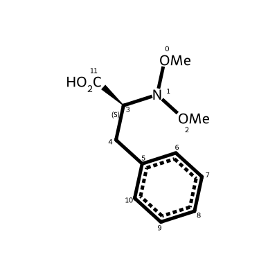 CON(OC)[C@@H](Cc1ccccc1)C(=O)O